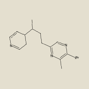 Cc1nc(CCC(C)C2C=CN=CC2)cnc1C(C)C